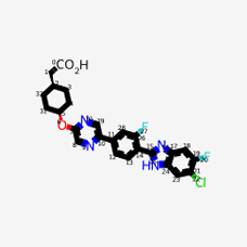 O=C(O)C[C@H]1CC[C@@H](Oc2cnc(-c3ccc(-c4nc5cc(F)c(Cl)cc5[nH]4)c(F)c3)cn2)CC1